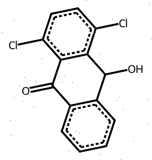 O=C1c2ccccc2C(O)c2c(Cl)ccc(Cl)c21